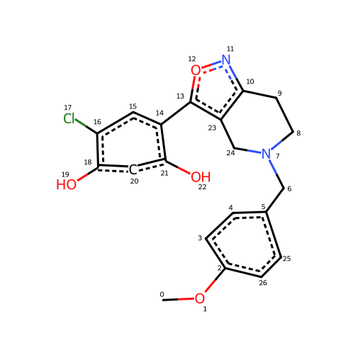 COc1ccc(CN2CCc3noc(-c4cc(Cl)c(O)cc4O)c3C2)cc1